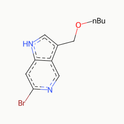 CCCCOCc1c[nH]c2cc(Br)ncc12